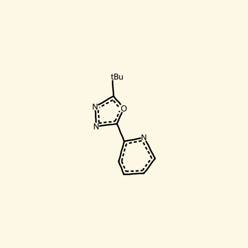 CC(C)(C)c1nnc(-c2ccccn2)o1